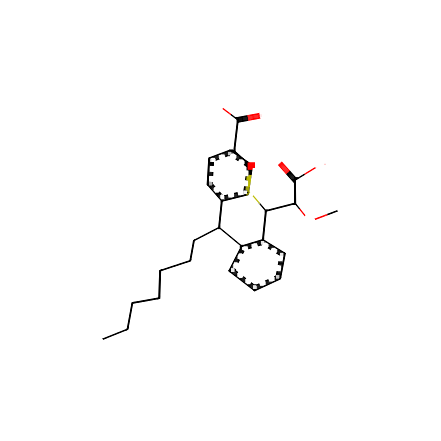 CCCCCCCC(c1ccccc1)c1ccccc1C(SCCC(=O)O)C(OC)C(=O)O